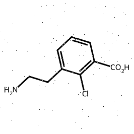 NCCc1cccc(C(=O)O)c1Cl